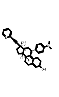 CN(C)c1ccc([C@H]2C[C@@]3(C)[C@@H](CC[C@@]3(O)C#Cc3ccccn3)[C@@H]3CCC4=CC(O)CCC4=C32)cc1